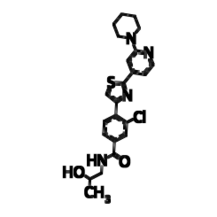 CC(O)CNC(=O)c1ccc(-c2csc(-c3ccnc(N4CCCCC4)c3)n2)c(Cl)c1